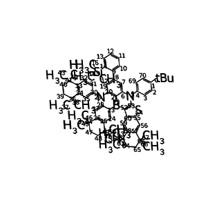 CC(C)(C)c1ccc(N2c3cc(-c4ccccc4[Si](C)(C)C)cc4c3B(c3cc5c(cc3N4c3ccc4c(c3)C(C)(C)CCC4(C)C)C(C)(C)CCC5(C)C)c3c2sc2cc4c(cc32)C(C)(C)CCC4(C)C)cc1